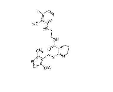 Cc1noc(C)c1CSc1ncccc1C(=O)NCCNc1cccc(F)c1C#N